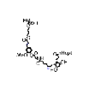 CCCCCCCC(=O)CC[C@@H]1[C@@H](C/C=C\CCCC(=O)NCC(=O)Oc2ccc(/C=C/C(=O)OCCCCON(O)O)cc2OC)[C@@H](O)C[C@H]1O